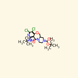 CC(C)(C)Nc1nc(Cl)c(Cl)c2c1C(=O)N1CCN(C(=O)OC(C)(C)C)CC1CO2